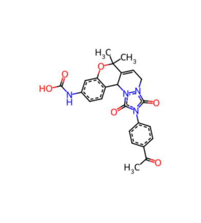 CC(=O)c1ccc(-n2c(=O)n3n(c2=O)C2C(=CC3)C(C)(C)Oc3cc(NC(=O)O)ccc32)cc1